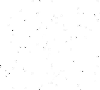 CCCCCCCCCCCCO[P](=O)O